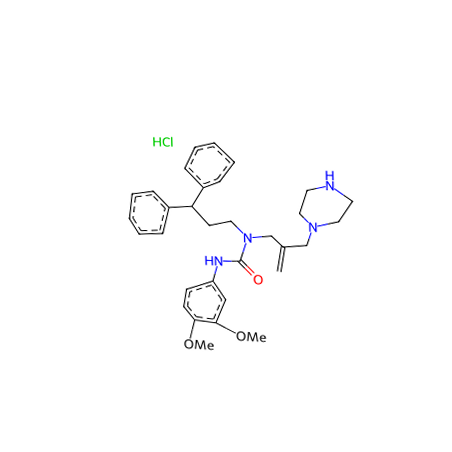 C=C(CN1CCNCC1)CN(CCC(c1ccccc1)c1ccccc1)C(=O)Nc1ccc(OC)c(OC)c1.Cl